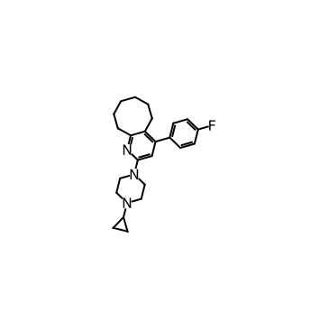 Fc1ccc(-c2cc(N3CCN(C4CC4)CC3)nc3c2CCCCCC3)cc1